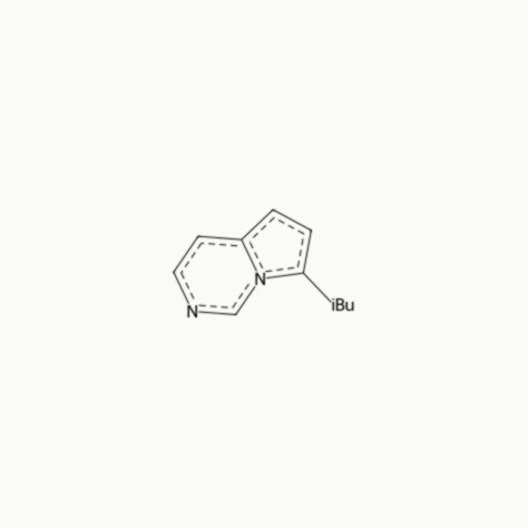 CCC(C)c1ccc2ccncn12